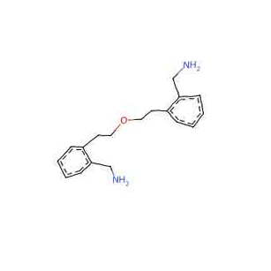 NCc1ccccc1CCOCCc1ccccc1CN